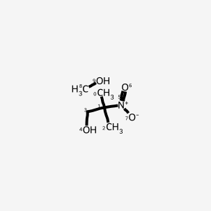 CC(C)(CO)[N+](=O)[O-].CO